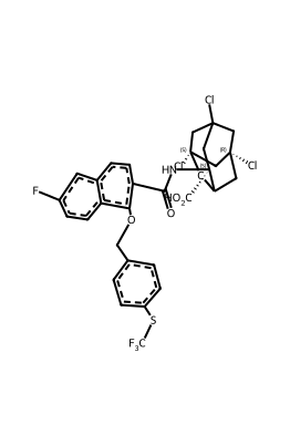 O=C(N[C@@]1(C(=O)O)CC2(Cl)C[C@]3(Cl)CC1C[C@](Cl)(C2)C3)c1ccc2cc(F)ccc2c1OCc1ccc(SC(F)(F)F)cc1